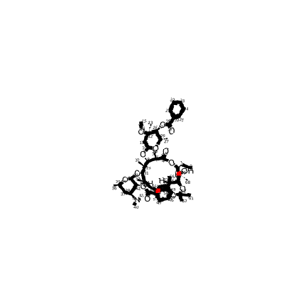 CC[C@H]1OC(=O)[C@H](C)[C@@H](OC2C[C@@](C)(OC)[C@@H](OC(=O)c3ccccc3)[C@H](C)O2)[C@H](C)[C@@H](OC2O[C@H](C)C[C@H](N(C)C)[C@H]2OC(=O)c2ccccc2)[C@@](C)(O)C[C@@H](C)[C@@H]2OC(C)(C)O[C@H]([C@H]2C)[C@]1(C)O